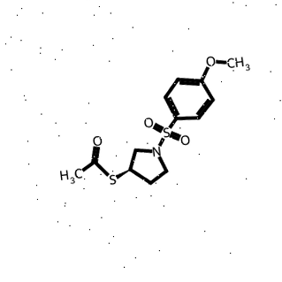 COc1ccc(S(=O)(=O)N2CC[C@@H](SC(C)=O)C2)cc1